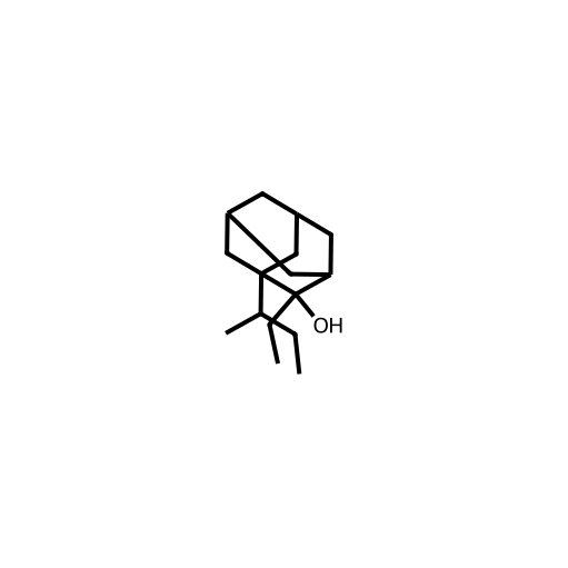 CCC(C)C12CC3CC(CC(C3)C1(O)CC)C2